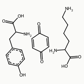 NC(Cc1ccc(O)cc1)C(=O)O.NCCCCC(N)C(=O)O.O=C1C=CC(=O)C=C1